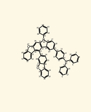 c1ccc(N(c2ccccc2)c2ccc(-c3ccc4c(c3)c3c(-c5ccc6c(c5)oc5ccccc56)c5c(cc3n4-c3ccccc3)oc3ccccc35)cc2)cc1